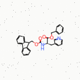 O=C(N[C@H](Cc1cccnc1)C(=O)OCc1ccccc1)OCC1c2ccccc2-c2ccccc21